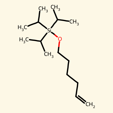 C=CCCCCO[Si](C(C)C)(C(C)C)C(C)C